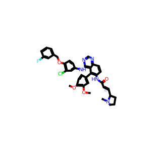 COc1ccc(-c2c(NC(=O)/C=C/C3CCCN3C)ccc3ncnc(Nc4ccc(OCc5cccc(F)c5)c(Cl)c4)c23)cc1OC